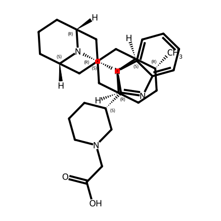 C[C@@H]1CC[C@@H]2C[C@H]1C[C@@H](N1[C@@H]3CCC[C@H]1C[C@@H](n1c([C@H]4CCCN(CC(=O)O)C4)nc4ccccc41)C3)C2